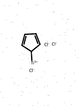 [Cl-].[Cl-].[Cl-].[Ti+3][CH]1C=CC=C1